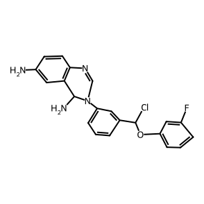 Nc1ccc2c(c1)C(N)N(c1cccc(C(Cl)Oc3cccc(F)c3)c1)C=N2